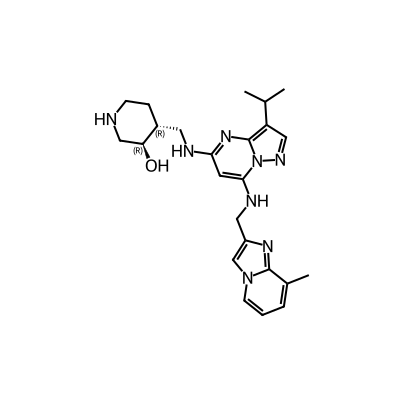 Cc1cccn2cc(CNc3cc(NC[C@H]4CCNC[C@@H]4O)nc4c(C(C)C)cnn34)nc12